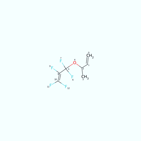 C=CC(C)OC(F)(F)C(F)=C(F)F